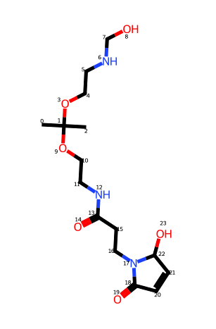 CC(C)(OCCNCO)OCCNC(=O)CCN1C(=O)C=CC1O